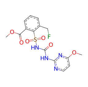 COC(=O)c1cccc(CF)c1S(=O)(=O)NC(=O)Nc1nccc(OC)n1